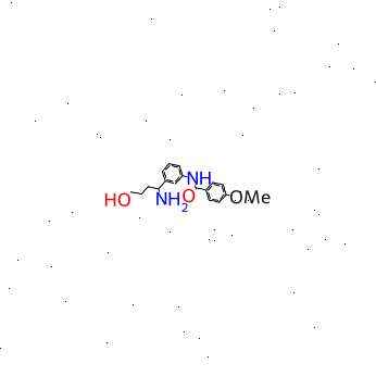 COc1ccc(C(=O)Nc2cccc(C(N)CCCO)c2)cc1